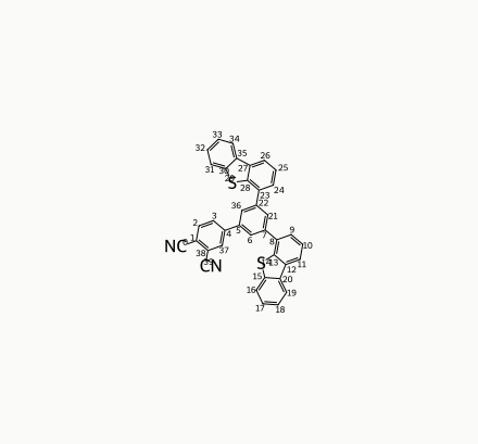 N#Cc1ccc(-c2cc(-c3cccc4c3sc3ccccc34)cc(-c3cccc4c3sc3ccccc34)c2)cc1C#N